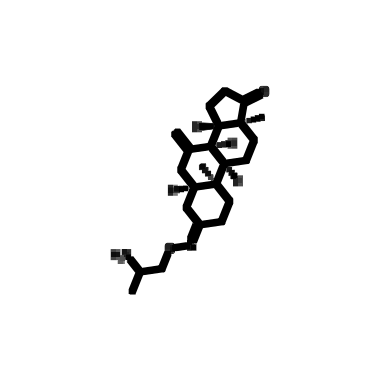 C=C1C[C@@H]2CC(=NOCC(C)N)CC[C@]2(C)[C@@H]2CC[C@]3(C)C(=O)CC[C@H]3[C@H]12